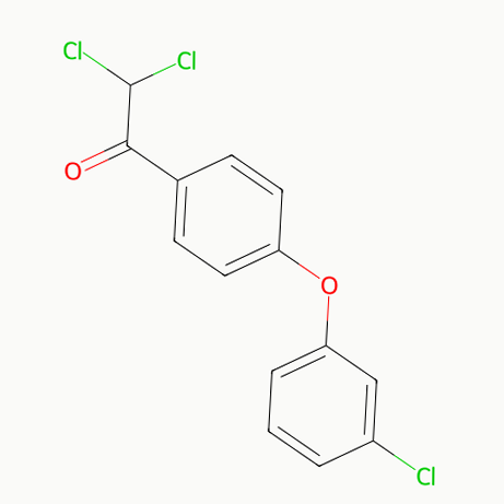 O=C(c1ccc(Oc2cccc(Cl)c2)cc1)C(Cl)Cl